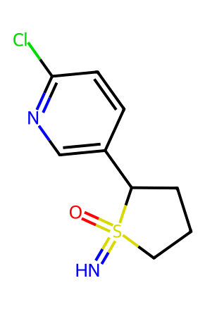 N=S1(=O)CCCC1c1ccc(Cl)nc1